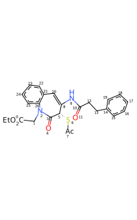 CCOC(=O)CN1C(=O)[C@@H](SC(C)=O)C(NC(=O)CCc2ccccc2)=Cc2ccccc21